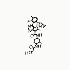 Cc1ccc(OCC2CC2)c(-c2ncnc3c(C(=O)NC4CCC(NC(=O)CO)C(C)C4)c(C)[nH]c23)c1F